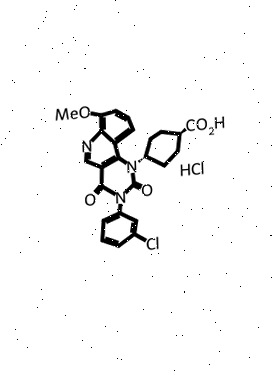 COc1cccc2c1ncc1c(=O)n(-c3cccc(Cl)c3)c(=O)n([C@H]3CC[C@H](C(=O)O)CC3)c12.Cl